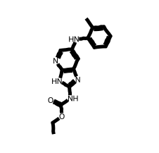 CCOC(=O)Nc1nc2cc(Nc3ccccc3C)cnc2[nH]1